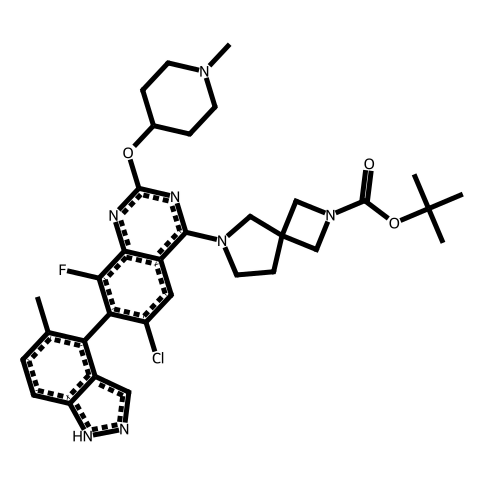 Cc1ccc2[nH]ncc2c1-c1c(Cl)cc2c(N3CCC4(CN(C(=O)OC(C)(C)C)C4)C3)nc(OC3CCN(C)CC3)nc2c1F